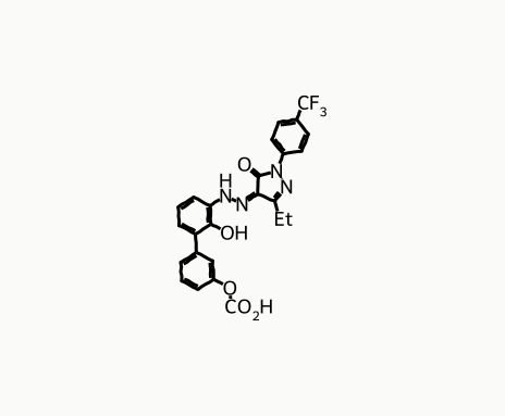 CCC1=NN(c2ccc(C(F)(F)F)cc2)C(=O)C1=NNc1cccc(-c2cccc(OC(=O)O)c2)c1O